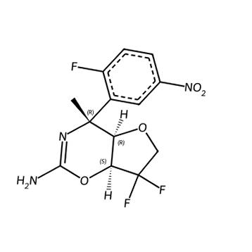 C[C@]1(c2cc([N+](=O)[O-])ccc2F)N=C(N)O[C@H]2[C@@H]1OCC2(F)F